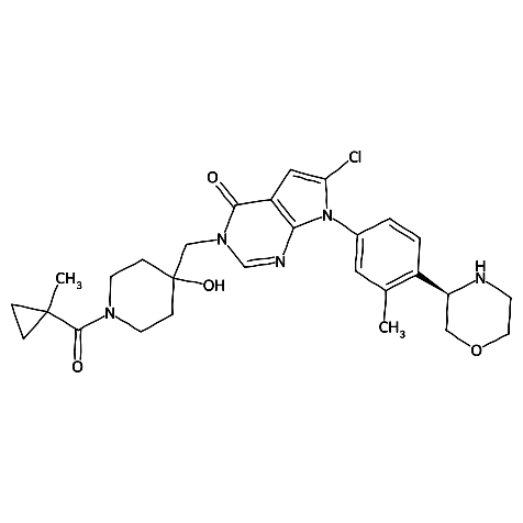 Cc1cc(-n2c(Cl)cc3c(=O)n(CC4(O)CCN(C(=O)C5(C)CC5)CC4)cnc32)ccc1[C@@H]1COCCN1